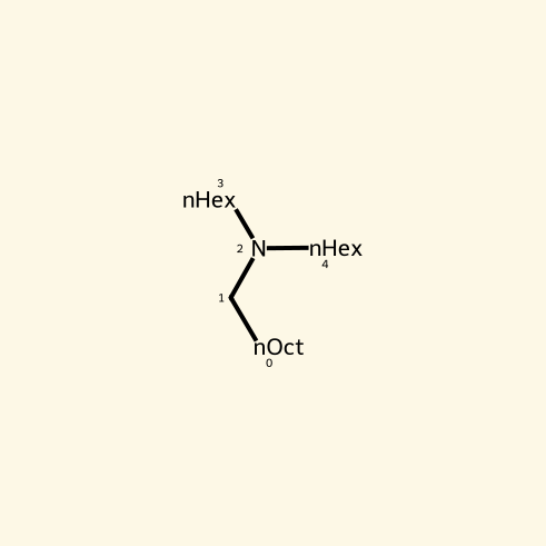 CCCCCCCCCN(CCCCCC)CCCCCC